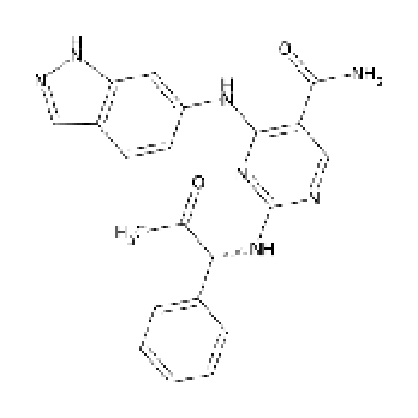 CC(=O)[C@H](Nc1ncc(C(N)=O)c(Nc2ccc3cn[nH]c3c2)n1)c1ccccc1